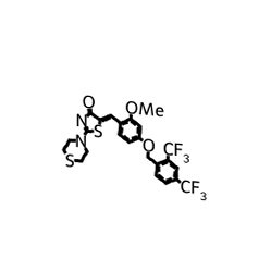 COc1cc(OCc2ccc(C(F)(F)F)cc2C(F)(F)F)ccc1C=C1SC(N2CCSCC2)=NC1=O